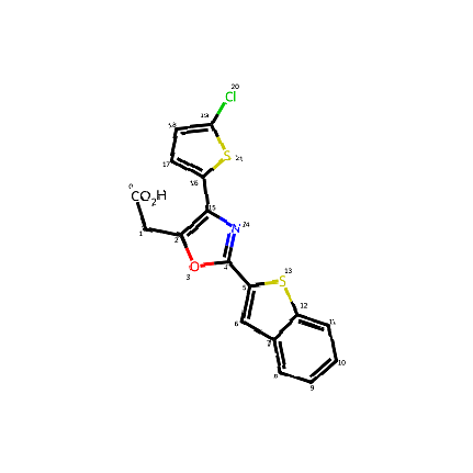 O=C(O)Cc1oc(-c2cc3ccccc3s2)nc1-c1ccc(Cl)s1